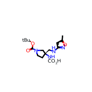 Cc1cc(NC[C@@]2(NC(=O)O)CCN(C(=O)OC(C)(C)C)C2)no1